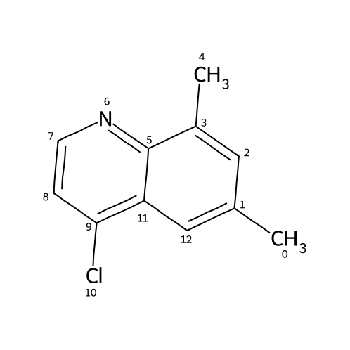 Cc1cc(C)c2nccc(Cl)c2c1